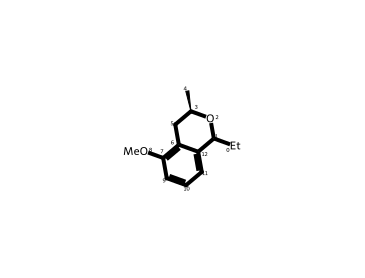 CCC1O[C@H](C)Cc2c(OC)cccc21